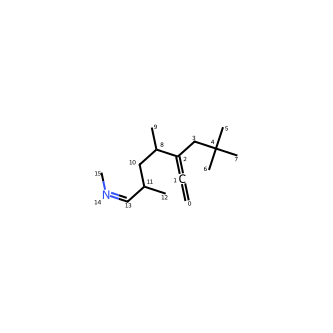 C=C=C(CC(C)(C)C)C(C)CC(C)/C=N\C